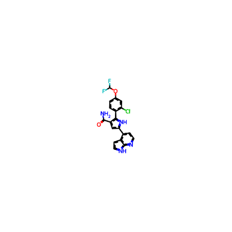 NC(=O)c1cc(-c2ccnc3[nH]ccc23)[nH]c1-c1ccc(OC(F)F)cc1Cl